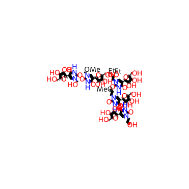 CCOC(Cn1cc([C@@H]2O[C@H](CO)[C@@H](O)[C@H]2O)c(=O)[nH]c1=O)OCC.COCCn1cc([C@@H]2O[C@H](CO)[C@@H](O)[C@H]2O)c(=O)[nH]c1=O.COCn1cc([C@@H]2O[C@H](CO)[C@@H](O)[C@H]2O)c(=O)[nH]c1=O.O=c1[nH]c(=O)n(CCO)cc1[C@@H]1O[C@H](CO)[C@@H](O)[C@H]1O.O=c1[nH]c(=O)n(CO)cc1[C@@H]1O[C@H](CO)[C@@H](O)[C@H]1O